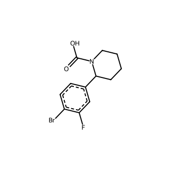 O=C(O)N1CCCCC1c1ccc(Br)c(F)c1